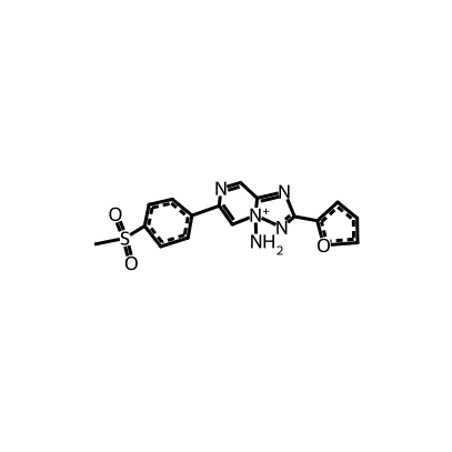 CS(=O)(=O)c1ccc(C2=C[N+]3(N)N=C(c4ccco4)N=C3C=N2)cc1